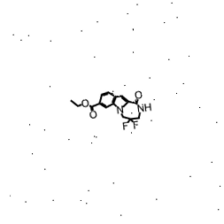 CCOC(=O)c1ccc2cc3n(c2c1)CC(F)(F)CNC3=O